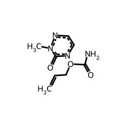 C=CCOC(N)=O.Cn1nccnc1=O